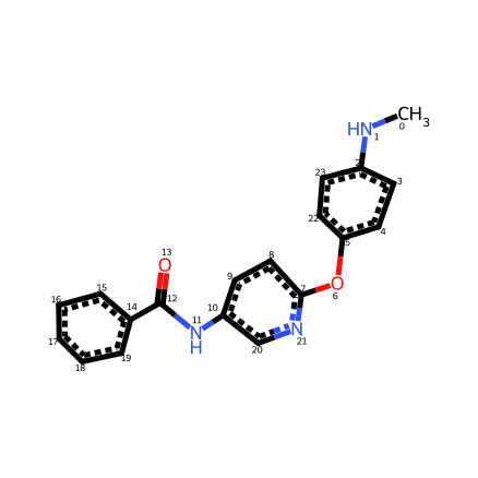 CNc1ccc(Oc2ccc(NC(=O)c3ccccc3)cn2)cc1